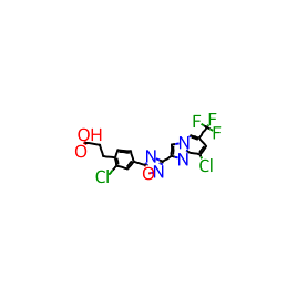 O=C(O)CCc1ccc(-c2nc(-c3cn4cc(C(F)(F)F)cc(Cl)c4n3)no2)cc1Cl